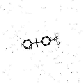 CC(C)(c1ccc([N+](=O)[O-])cc1)c1ccncn1